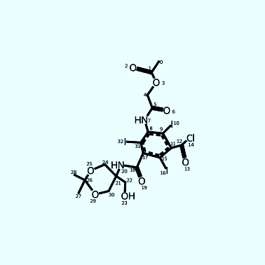 CC(=O)OCC(=O)Nc1c(I)c(C(=O)Cl)c(I)c(C(=O)NC2(CO)COC(C)(C)OC2)c1I